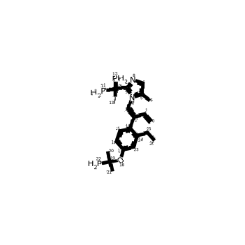 C=C/C(=C\n1c(C)cnc1C(P)(P)I)c1ccc(OC(C)(C)P)cc1CC